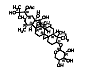 CC(=O)O[C@@H]([C@H]1C[C@@H](C)[C@H]2[C@@](O)(C1)[C@H](O)[C@@]1(C)[C@@H]3CC[C@H]4C(C)(C)[C@@H](O[C@@H]5OCC(O)[C@H](O)[C@H]5O)CCC45C[C@@]35CC[C@]21C)C(C)(C)O